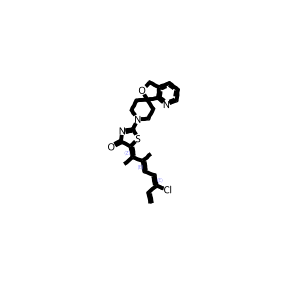 C=C\C(Cl)=C/C=C(C)/C(C)=C1\SC(N2CCC3(CC2)OCc2cccnc23)=NC1=O